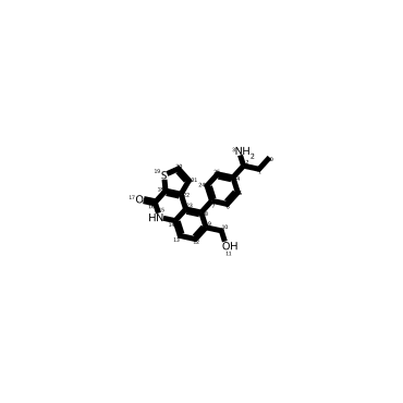 CCC(N)c1ccc(-c2c(CO)ccc3[nH]c(=O)c4sccc4c23)cc1